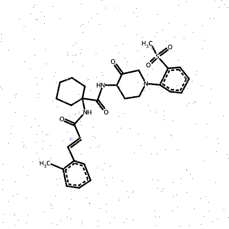 Cc1ccccc1/C=C/C(=O)NC1(C(=O)NC2CCN(c3ccccc3S(C)(=O)=O)CC2=O)CCCCC1